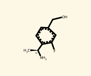 C[C@H](N)c1ccc(CO)cc1F